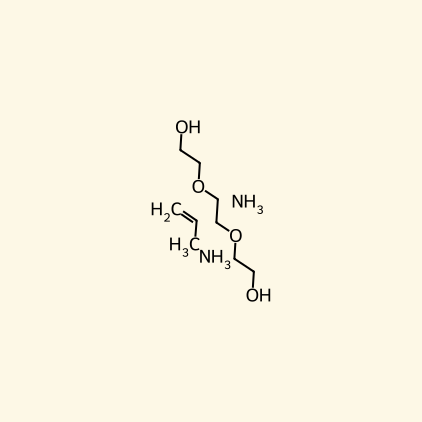 C=CC.N.N.OCCOCCOCCO